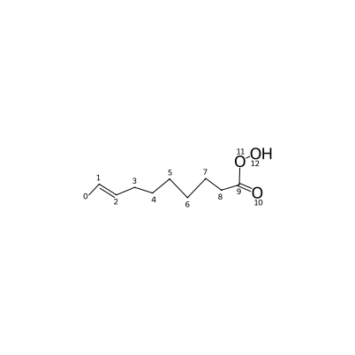 CC=CCCCCCCC(=O)OO